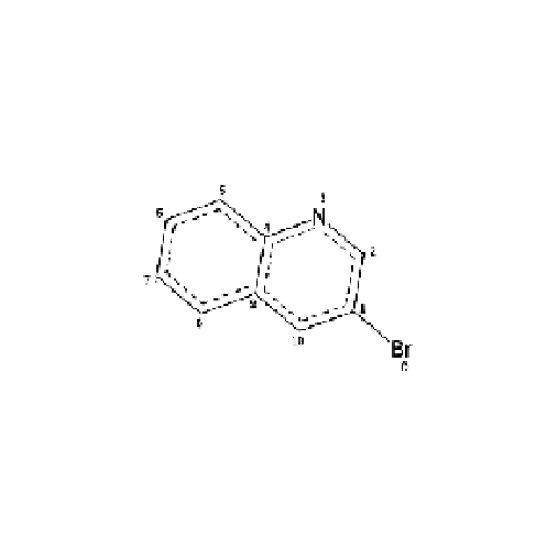 Brc1cnc2cc[c]cc2c1